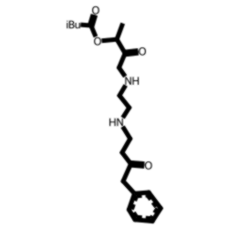 CCC(C)C(=O)OC(C)C(=O)CNCCNCCC(=O)Cc1ccccc1